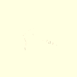 C=C(N)C1=CC2(C(F)(F)CO)CC2C=C1